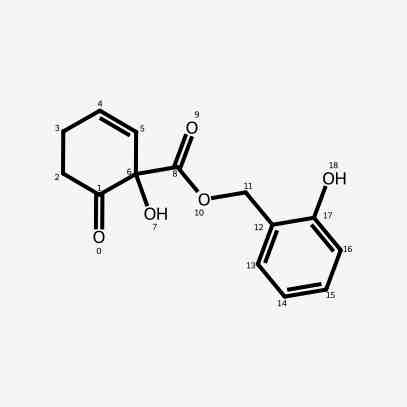 O=C1CCC=CC1(O)C(=O)OCc1ccccc1O